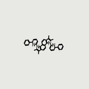 Cc1c(C)n(-c2cccc(-c3ccccc3)n2)c2c1ccc1c2ccc2c(C)c(C)n(-c3cccc(-c4ccccc4)n3)c21